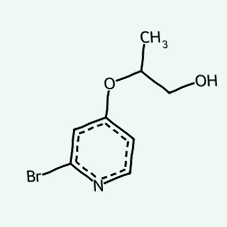 CC(CO)Oc1ccnc(Br)c1